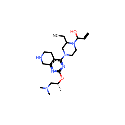 C=CC(O)N1CCN(c2nc(O[C@H](C)CN(C)C)nc3c2CCNC3)CC1CC#N